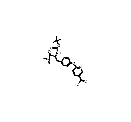 CN(C)C(=O)C(Cc1ccc(Oc2ccc(C(=O)O)cn2)cc1)NC(=O)OC(C)(C)C